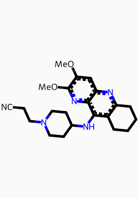 COc1cc2nc3c(c(NC4CCN(CCC#N)CC4)c2nc1OC)CCCC3